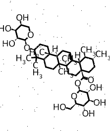 C[C@H]1[C@H](C)CC[C@]2(C(=O)O[C@@H]3O[C@H](CO)[C@@H](O)[C@H](O)[C@H]3O)CC[C@]3(C)C(=CC[C@@H]4[C@@]5(C)CC[C@H](O[C@@H]6OC[C@H](O)[C@H](O)[C@H]6O)C(C)(C)C5CC[C@]43C)[C@H]12